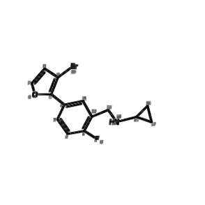 Fc1ccc(-c2occc2Br)cc1CNC1CC1